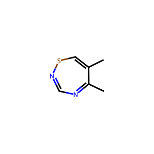 CC1=CSN=CN=C1C